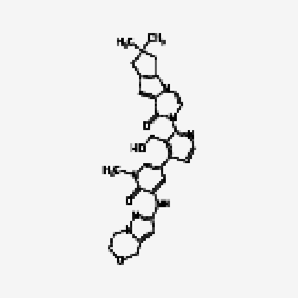 Cn1cc(-c2ccnc(-n3ccn4c5c(cc4c3=O)CC(C)(C)C5)c2CO)cc(Nc2cc3n(n2)CCOC3)c1=O